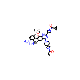 C=CC(=O)N1CC2(CCN(c3nc(C4CN(C(=O)C5CC5)C4)nc4c(OCC(F)(F)F)c(-c5c(C)ccc(N)c5C=N)c(CC)cc34)CC2)C1